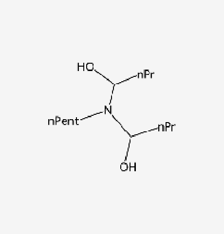 CCCCCN(C(O)CCC)C(O)CCC